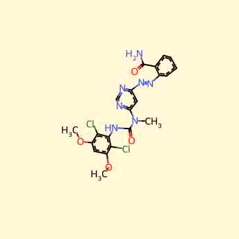 COc1cc(OC)c(Cl)c(NC(=O)N(C)c2cc(N=Nc3ccccc3C(N)=O)ncn2)c1Cl